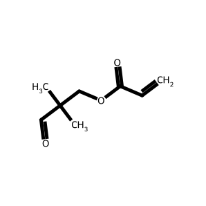 C=CC(=O)OCC(C)(C)C=O